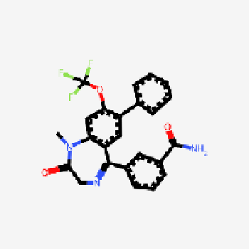 CN1C(=O)CN=C(c2cccc(C(N)=O)c2)c2cc(-c3ccccc3)c(OC(F)(F)F)cc21